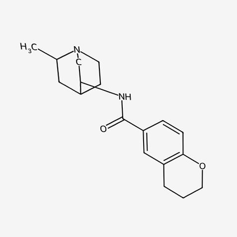 CC1CC2CCN1CC2NC(=O)c1ccc2c(c1)CCCO2